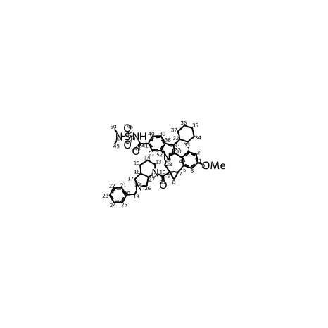 COc1ccc2c(c1)C1CC1(C(=O)N1CCCC3CN(Cc4ccccc4)CC31)Cn1c-2c(C2CCCCC2)c2ccc(C(=O)NS(=O)(=O)N(C)C)cc21